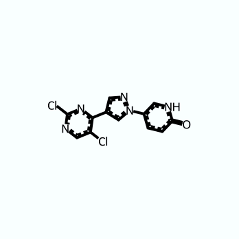 O=c1ccc(-n2cc(-c3nc(Cl)ncc3Cl)cn2)c[nH]1